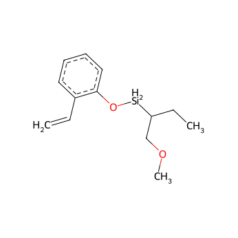 C=Cc1ccccc1O[SiH2]C(CC)COC